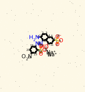 Nc1ccc2cc(S(=O)(=O)[O-])cc(O)c2c1N=Nc1ccc([N+](=O)[O-])cc1S(=O)(=O)[O-].[Na+].[Na+]